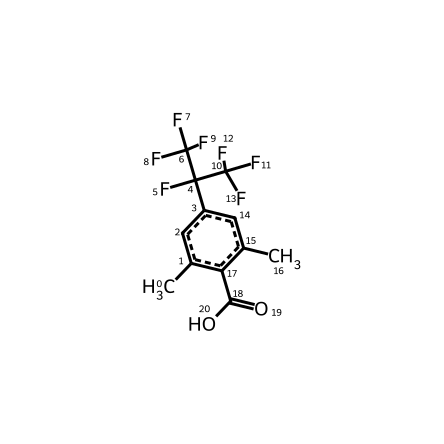 Cc1cc(C(F)(C(F)(F)F)C(F)(F)F)cc(C)c1C(=O)O